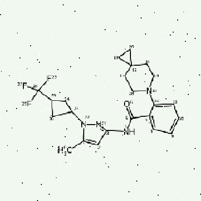 Cc1cc(NC(=O)c2ccccc2N2CCC3(CC2)CC3)nn1C1CC(C(F)(F)F)C1